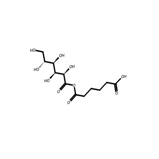 O=C(O)CCCCC(=O)OC(=O)[C@H](O)[C@@H](O)[C@H](O)[C@H](O)CO